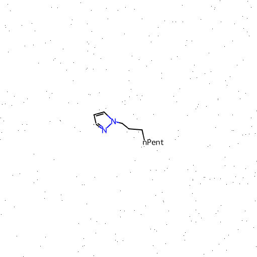 CCCCCCCCn1cc[c]n1